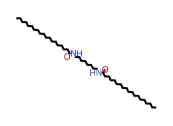 CCCCCCCCCCCCCCCCCCC(=O)NCCCCCCCCNC(=O)CCCCCCCCCCCCCCCCCC